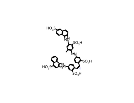 Cc1cc(-n2n3c4ccc5cc(S(=O)(=O)O)ccc5c4n23)c(S(=O)(=O)O)cc1N=Nc1ccc(/C=C\c2ccc(-n3n4c5cc(S(=O)(=O)O)c6ccccc6c5n34)cc2S(=O)(=O)O)c(S(=O)(=O)O)c1